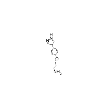 NCCCOc1ccc(-c2cn[nH]c2)cc1